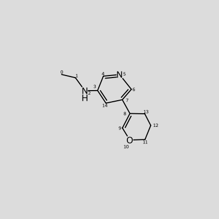 CCNc1cncc(C2=COCCC2)c1